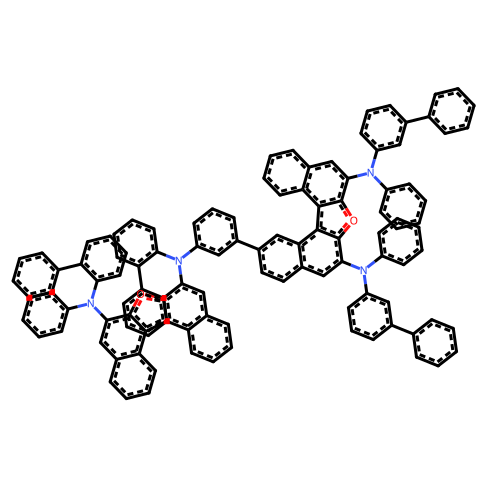 c1ccc(-c2cccc(N(c3ccccc3)c3cc4ccccc4c4c3oc3c(N(c5ccccc5)c5cccc(-c6ccccc6)c5)cc5ccc(-c6cccc(N(c7ccccc7-c7ccccc7)c7cc8ccccc8c8c7oc7c(N(c9ccccc9)c9ccccc9-c9ccccc9)cc9ccccc9c78)c6)cc5c34)c2)cc1